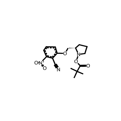 CC(C)(C)C(=O)ON1CCC[C@H]1COc1cccc([N+](=O)[O-])c1C#N